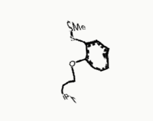 CSSc1ccccc1OCCC(C)C